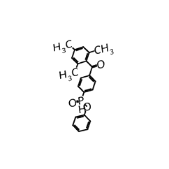 Cc1cc(C)c(C(=O)c2ccc([PH](=O)Oc3ccccc3)cc2)c(C)c1